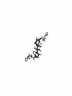 CC(C)(c1ccc(CN=C=O)o1)c1ccc(CN=C=O)o1